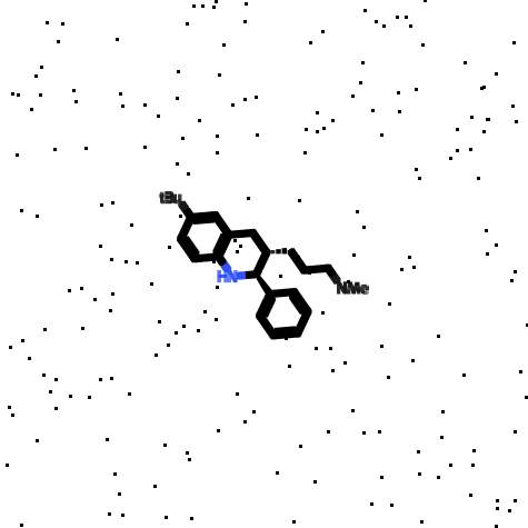 CNCCC[C@H]1Cc2cc(C(C)(C)C)ccc2N[C@@H]1c1ccccc1